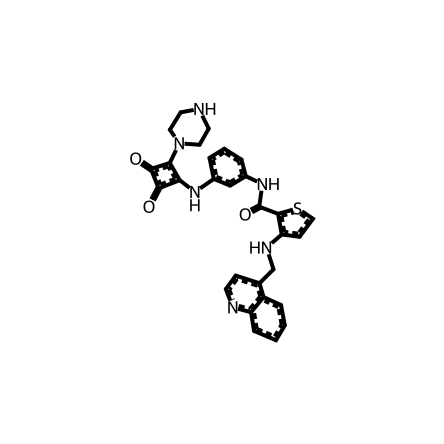 O=C(Nc1cccc(Nc2c(N3CCNCC3)c(=O)c2=O)c1)c1sccc1NCc1ccnc2ccccc12